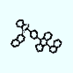 c1ccc2cc(-n3c(-c4ccc(-c5c6ccccc6c(-c6cccc7ccccc67)c6ccccc56)cc4)nc4ccccc43)ccc2c1